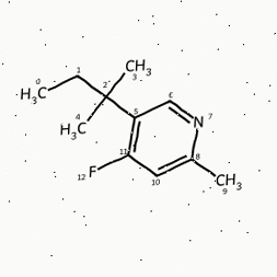 CCC(C)(C)c1cnc(C)cc1F